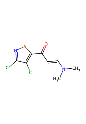 CN(C)C=CC(=O)c1snc(Cl)c1Cl